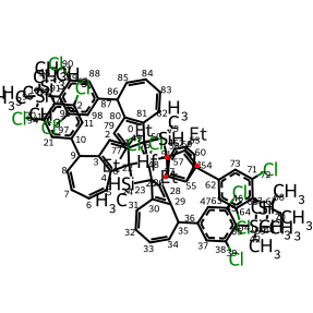 CCC1=CC2=C(C=CC=CC2c2cc(Cl)c([Si](C)(C)C)c(Cl)c2)[C]12[SiH](C)[C]1(C(CC)=CC3=C1C=CC=CC3c1cc(Cl)c([Si](C)(C)C)c(Cl)c1)[Hf]21([Cl])([Cl])[C]2(C(CC)=CC3=C2C=CC=CC3c2cc(Cl)c([Si](C)(C)C)c(Cl)c2)[SiH](C)[C]12C(CC)=CC1=C2C=CC=CC1c1cc(Cl)c([Si](C)(C)C)c(Cl)c1